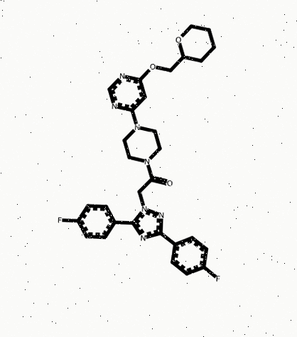 O=C(Cn1nc(-c2ccc(F)cc2)nc1-c1ccc(F)cc1)N1CCN(c2cc(OCC3CCCCO3)ncn2)CC1